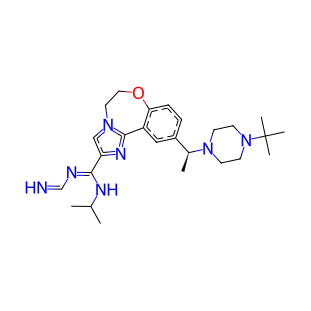 CC(C)N/C(=N\C=N)c1cn2c(n1)-c1cc([C@H](C)N3CCN(C(C)(C)C)CC3)ccc1OCC2